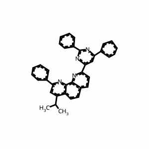 CC(C)c1cc(-c2ccccc2)nc2c1ccc1ccc(-c3cc(-c4ccccc4)nc(-c4ccccc4)n3)nc12